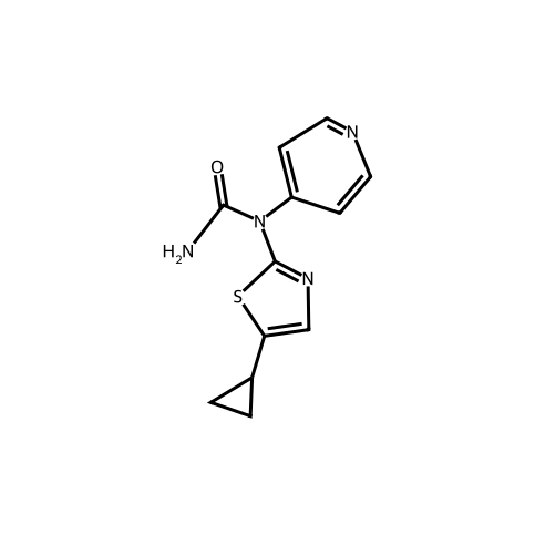 NC(=O)N(c1ccncc1)c1ncc(C2CC2)s1